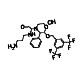 Cl.NCCCNC(C=O)N1CCOC(OCc2cc(C(F)(F)F)cc(C(F)(F)F)c2)C1c1ccccc1